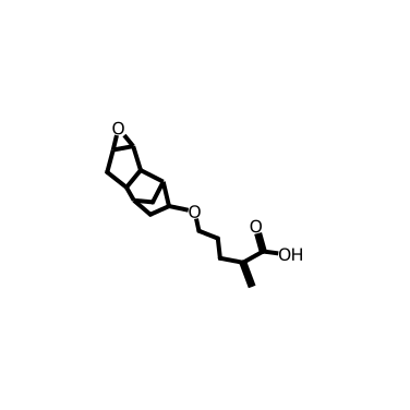 C=C(CCCOC1CC2CC1C1C2CC2OC21)C(=O)O